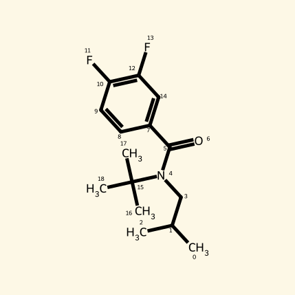 CC(C)CN(C(=O)c1ccc(F)c(F)c1)C(C)(C)C